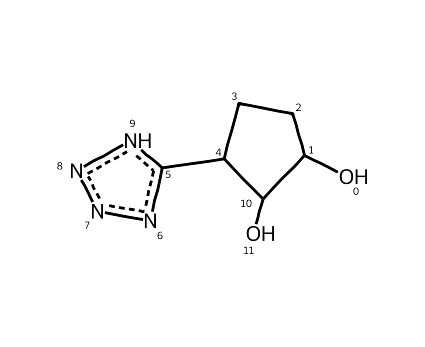 OC1CCC(c2nnn[nH]2)C1O